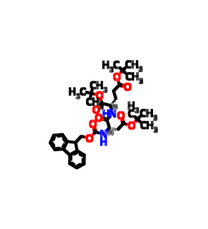 CC(C)(C)OC(=O)CC[C@H](NC(=O)[C@H](CC(=O)OC(C)(C)C)NC(=O)OCC1c2ccccc2-c2ccccc21)C(=O)OC(C)(C)C